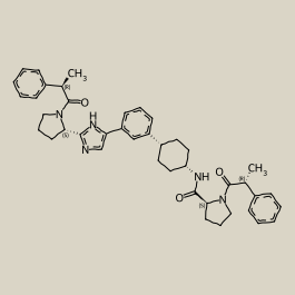 C[C@@H](C(=O)N1CCC[C@H]1C(=O)N[C@H]1CC[C@@H](c2cccc(-c3cnc([C@@H]4CCCN4C(=O)[C@H](C)c4ccccc4)[nH]3)c2)CC1)c1ccccc1